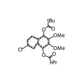 CCCC(=O)Oc1c(OC)c(OC)c(OC(=O)C(C)(C)C)c2ccc(Cl)cc12